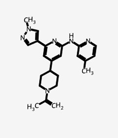 C=C(C)N1CCC(c2cc(Nc3cc(C)ccn3)nc(-c3cnn(C)c3)c2)CC1